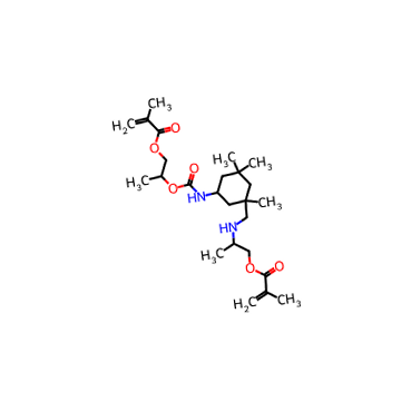 C=C(C)C(=O)OCC(C)NCC1(C)CC(NC(=O)OC(C)COC(=O)C(=C)C)CC(C)(C)C1